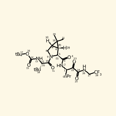 CCCC(NC(=O)[C@@H]1[C@@H]2[C@H](CN1C(=O)[C@@H](NC(=O)OC(C)(C)C)C(C)(C)C)C2(C)C)C(=O)C(=O)NCC(F)(F)F